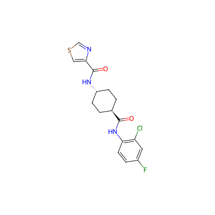 O=C(N[C@H]1CC[C@H](C(=O)Nc2ccc(F)cc2Cl)CC1)c1cscn1